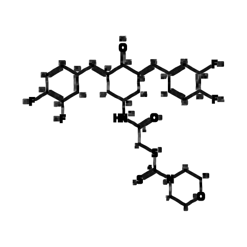 O=C(CSC(=S)N1CCOCC1)NC1C/C(=C\c2ccc(F)c(F)c2)C(=O)/C(=C/c2ccc(F)c(F)c2)C1